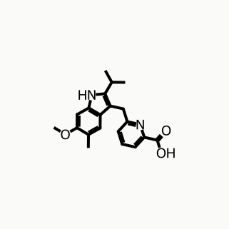 COc1cc2[nH]c(C(C)C)c(Cc3cccc(C(=O)O)n3)c2cc1C